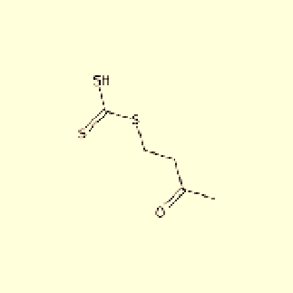 CC(=O)CCSC(=S)S